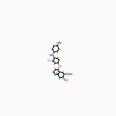 COc1cc2c(Oc3ccc(Nc4ccc(C(C)(C)C)cc4)c(F)c3)ccnc2cc1O